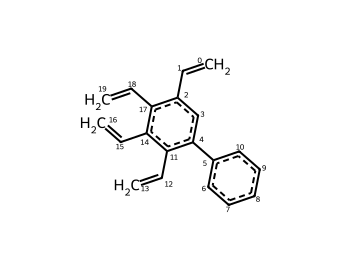 C=Cc1cc(-c2ccccc2)c(C=C)c(C=C)c1C=C